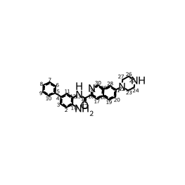 Nc1ccc(-c2ccccc2)cc1NC(=O)c1cc2ccc(N3CCNCC3)cc2cn1